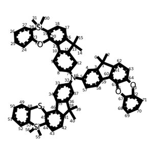 CC1(C)c2cc(N(c3ccc4c(c3)C(C)(C)c3ccc5c(c3-4)Oc3ccccc3[Si]5(C)C)c3ccc4c(c3)C(C)(C)c3ccc5c(c3-4)Sc3ccccc3[Si]5(C)C)ccc2-c2c1ccc1c2Oc2ccccc2O1